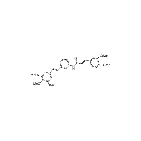 COc1ccc(/C=C/C(=O)Nc2cccc(C=Cc3cc(OC)c(OC)c(OC)c3)c2)cc1OC